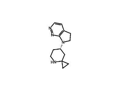 c1cc2c(nn1)N([C@H]1CCNC3(CC3)C1)CC2